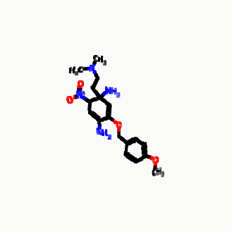 COc1ccc(COC2=CC(N)(CCN(C)C)C([N+](=O)[O-])C=C2N)cc1